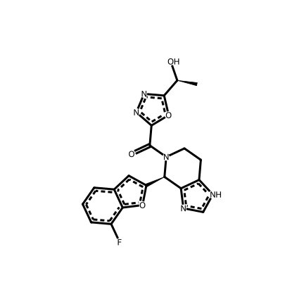 C[C@H](O)c1nnc(C(=O)N2CCc3[nH]cnc3[C@H]2c2cc3cccc(F)c3o2)o1